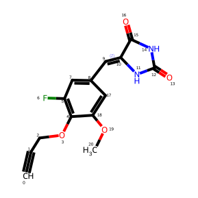 C#CCOc1c(F)cc(/C=C2\NC(=O)NC2=O)cc1OC